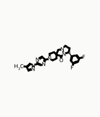 Cc1cnn(-c2cnc(N3CCC4(CC3)CN3CC[C@@H](c5cc(F)cc(F)c5)N3C4=O)cn2)c1